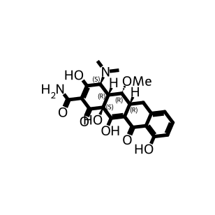 CO[C@H]1[C@H]2[C@H](N(C)C)C(O)=C(C(N)=O)C(=O)[C@@]2(O)C(O)=C2C(=O)c3c(O)cccc3C[C@H]21